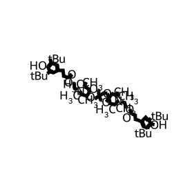 CC(C)(C)c1cc(CCC(=O)OCCN2C(C)(C)CC3(CC2(C)C)OCC2(CO3)COC3(CC(C)(C)N(CCOC(=O)CCc4cc(C(C)(C)C)c(O)c(C(C)(C)C)c4)C(C)(C)C3)OC2)cc(C(C)(C)C)c1O